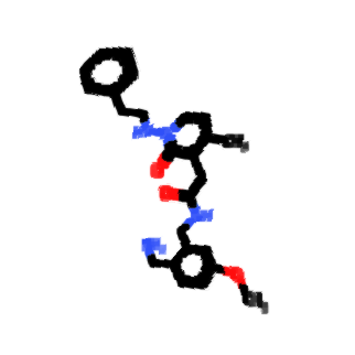 COc1ccc(CN)c(CNC(=O)Cc2c(C)ccn(NCCc3ccccc3)c2=O)c1